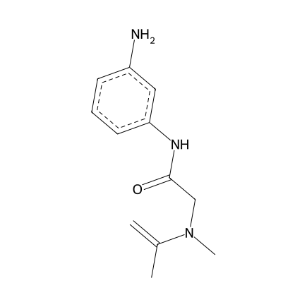 C=C(C)N(C)CC(=O)Nc1cccc(N)c1